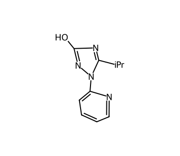 CC(C)c1nc(O)nn1-c1ccccn1